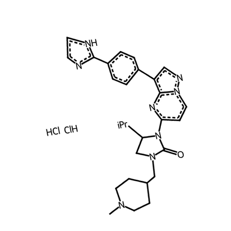 CC(C)C1CN(CC2CCN(C)CC2)C(=O)N1c1ccn2ncc(-c3ccc(-c4ncc[nH]4)cc3)c2n1.Cl.Cl